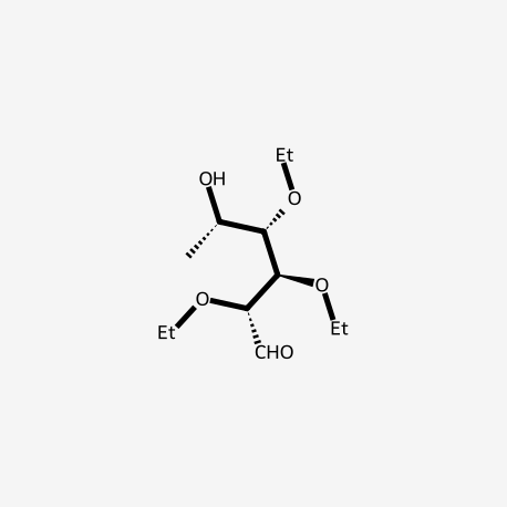 CCO[C@H]([C@@H](OCC)[C@H](C=O)OCC)[C@H](C)O